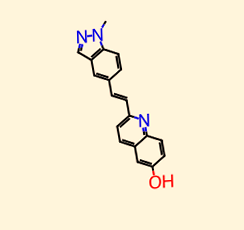 Cn1ncc2cc(/C=C/c3ccc4cc(O)ccc4n3)ccc21